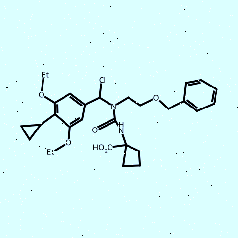 CCOc1cc(C(Cl)N(CCOCc2ccccc2)C(=O)NC2(C(=O)O)CCC2)cc(OCC)c1C1CC1